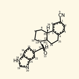 N#Cc1ccc2c(c1)[C@H]1CCCN(C(=O)c3ccc4[nH]cnc4c3)[C@@H]1CC2